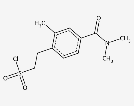 Cc1cc(C(=O)N(C)C)ccc1CCS(=O)(=O)Cl